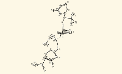 CN(C)[C@H](CNC(=O)CC(c1cncc(F)c1)C1(C(F)(F)F)CC1)Cc1ccc(C(N)=O)c(F)c1